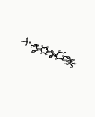 CC(C)(C)CCNC(=O)c1ccc(OC(=O)N2CCC(O[Si](C)(C)C(C)(C)C)CC2)cc1